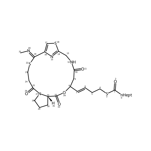 CCCCCCCC(=O)SCC/C=C/C1CC(=O)NCc2nc(cs2)/C(=N/C)SCCC(=O)N2CCC[C@H]2C(=O)O1